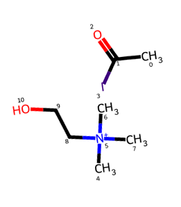 CC(=O)I.C[N+](C)(C)CCO